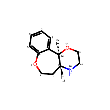 c1ccc2c(c1)OCC[C@H]1NCCO[C@H]21